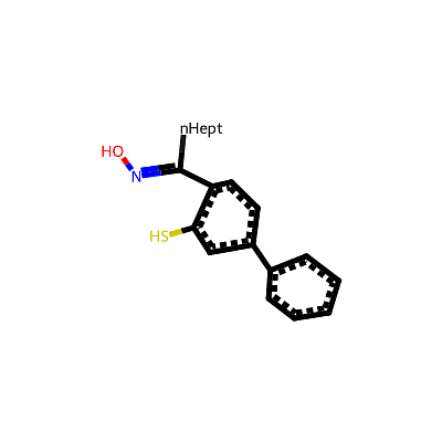 CCCCCCCC(=NO)c1ccc(-c2ccccc2)cc1S